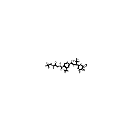 O=C(CNC(=O)c1ccc(C(F)=CC(c2cc(F)c(F)c(Cl)c2)C(F)(F)F)cc1C(F)(F)F)NCC(F)(F)F